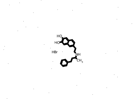 Br.CC(CCc1ccccc1)NCCc1ccc2cc(O)c(O)cc2c1